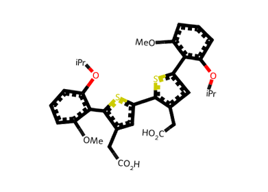 COc1cccc(OC(C)C)c1-c1cc(CC(=O)O)c(-c2cc(CC(=O)O)c(-c3c(OC)cccc3OC(C)C)s2)s1